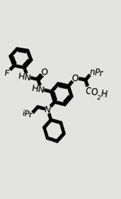 CCCC(Oc1ccc(N(CC(C)C)C2CCCCC2)c(NC(=O)Nc2ccccc2F)c1)C(=O)O